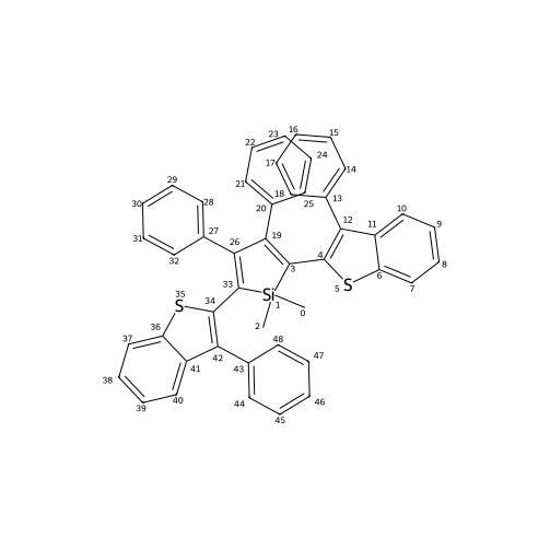 C[Si]1(C)C(c2sc3ccccc3c2-c2ccccc2)=C(c2ccccc2)C(c2ccccc2)=C1c1sc2ccccc2c1-c1ccccc1